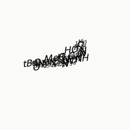 COc1nc(N2CCc3[nH]c4nnc(-c5ccccc5O)cc4c3[C@H]2C)ncc1C1CCN(C2CC3(C2)CN(C(=O)OC(C)(C)C)C3)CC1